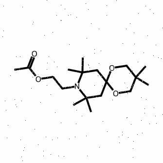 CC(=O)OCCN1C(C)(C)CC2(CC1(C)C)OCC(C)(C)CO2